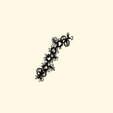 C=C(C)C(=O)Oc1ccc(-c2ccc3c(c2)C(=C)c2cc(-c4ccc(OC(=O)C(C)C)cc4CC)ccc2-3)c(CC)c1